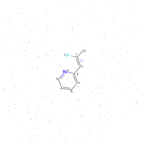 C/C(F)=C/c1ccccn1